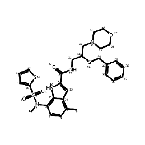 Cc1ccc(N(C)S(=O)(=O)c2cccs2)c2[nH]c(C(=O)NCC(CN3CCOCC3)SCc3ccccc3)cc12